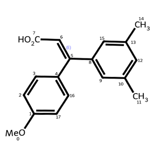 COc1ccc(/C(=C\C(=O)O)c2cc(C)cc(C)c2)cc1